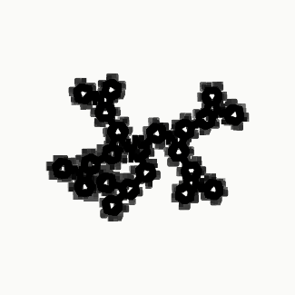 c1ccc(-c2ccc(-c3cccc(-c4cc(-c5cccc(-n6c7ccc(-c8ccc9c(c8)c8ccccc8n9-c8ccccc8)cc7c7cc(-c8ccc9c(c8)c8ccccc8n9-c8ccccc8)ccc76)c5)nc(-n5c6ccc(-c7ccc8c(c7)c7ccccc7n8-c7ccccc7)cc6c6cc(-c7ccc8c(c7)c7ccccc7n8-c7ccccc7)ccc65)n4)c3)cc2-c2ccccc2)cc1